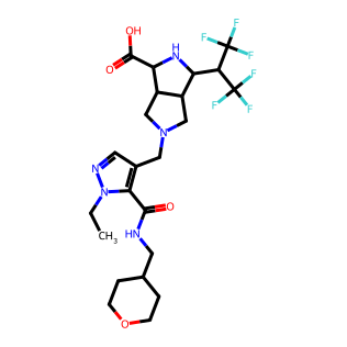 CCn1ncc(CN2CC3C(C(=O)O)NC(C(C(F)(F)F)C(F)(F)F)C3C2)c1C(=O)NCC1CCOCC1